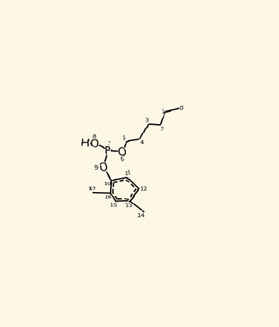 CCCCCCOP(O)Oc1ccc(C)cc1C